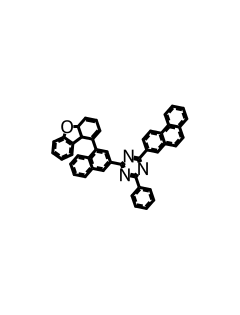 C1=CC2Oc3ccccc3C2C(c2cc(-c3nc(-c4ccccc4)nc(-c4ccc5c(ccc6ccccc65)c4)n3)cc3ccccc23)=C1